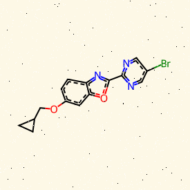 Brc1cnc(-c2nc3ccc(OCC4CC4)cc3o2)nc1